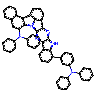 c1ccc(N(c2ccccc2)c2cccc(-c3cccc4c3[nH]c3nc5c6cccc7c8c9ccccc9cc(N(c9ccccc9)c9ccccc9)c8n(c5nc34)c67)c2)cc1